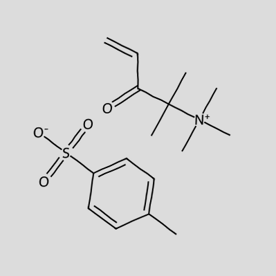 C=CC(=O)C(C)(C)[N+](C)(C)C.Cc1ccc(S(=O)(=O)[O-])cc1